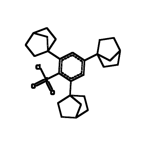 O=S(=O)(Cl)c1c(C23CCC(CC2)C3)cc(C23CCC(CC2)C3)cc1C12CCC(CC1)C2